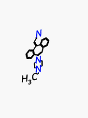 CCN1CCN(C2=Cc3ccccc3C(=CC#N)c3ccccc32)CC1